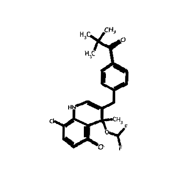 CC(C)(C)C(=O)c1ccc(CC2=CNc3c(Cl)ccc([O])c3C2(C)OC(F)F)cc1